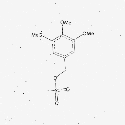 COc1cc(COS(C)(=O)=O)cc(OC)c1OC